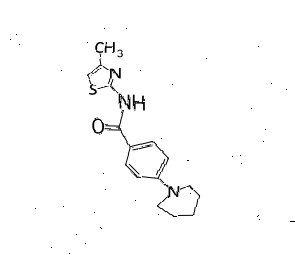 Cc1csc(NC(=O)c2ccc(N3CCCCC3)cc2)n1